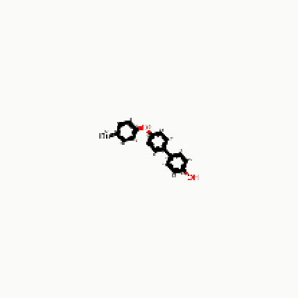 CCC(C)c1ccc(Oc2ccc(-c3ccc(O)cc3)cc2)cc1